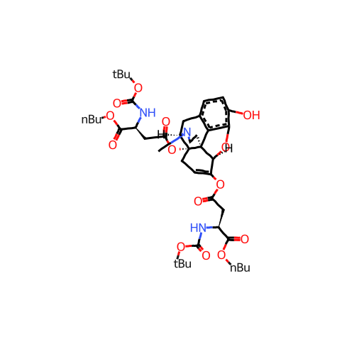 CCCCOC(=O)[C@H](CC(=O)OC1=CC[C@@]2(OC(=O)C[C@H](NC(=O)OC(C)(C)C)C(=O)OCCCC)[C@H]3Cc4ccc(O)c5c4[C@@]2(CCN3C)[C@H]1O5)NC(=O)OC(C)(C)C